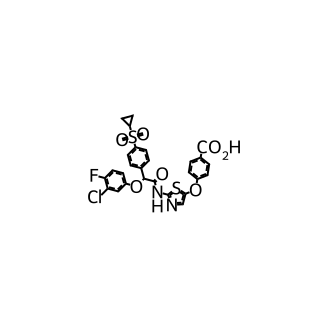 O=C(O)c1ccc(Oc2cnc(NC(=O)C(Oc3ccc(F)c(Cl)c3)c3ccc(S(=O)(=O)C4CC4)cc3)s2)cc1